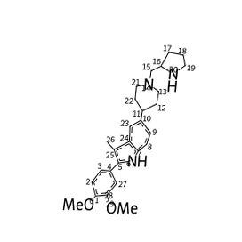 COc1ccc(-c2[nH]c3ccc(C4CCN(CC5CCCN5)CC4)cc3c2C)cc1OC